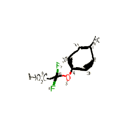 CC(=O)c1ccc(OC(F)(F)C(=O)O)cc1